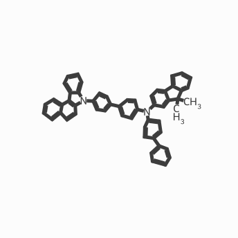 CC1(C)c2ccccc2-c2ccc(N(c3ccc(-c4ccccc4)cc3)c3ccc(-c4ccc(-n5c6ccccc6c6c7ccccc7ccc65)cc4)cc3)cc21